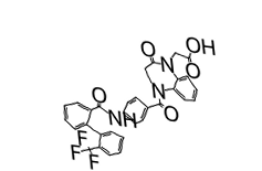 O=C(O)CN1C(=O)CCN(C(=O)c2ccc(NC(=O)c3ccccc3-c3ccccc3C(F)(F)F)cc2)c2ccccc21